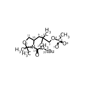 CC(C)(COS(C)(=O)=O)CC1COC(C)(C)N1C(=O)OC(C)(C)C